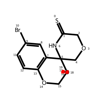 S=C1COCC2(N1)c1cc(Br)ccc1OCC21COC1